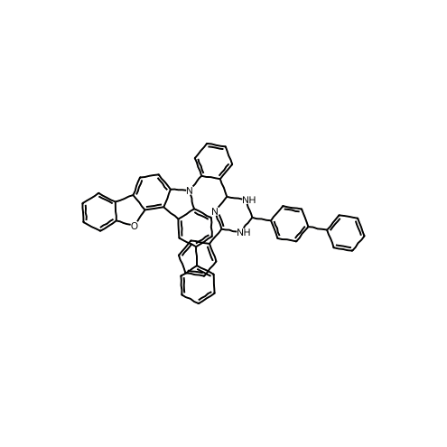 c1ccc(C2=NC(c3ccccc3-n3c4ccc(-c5ccccc5)cc4c4c5oc6ccccc6c5ccc43)NC(c3ccc(-c4ccccc4)cc3)N2)cc1